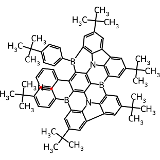 CC(C)(C)c1ccc(B2c3c(-c4cccnc4)c4c5c6c3-n3c7c2cc(C(C)(C)C)cc7c2cc(C(C)(C)C)cc(c23)B6c2cc(C(C)(C)C)cc3c6cc(C(C)(C)C)cc(c6n-5c23)B4c2ccc(C(C)(C)C)cc2)cc1